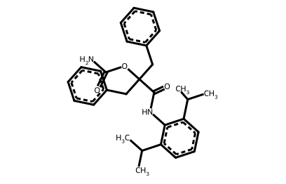 CC(C)c1cccc(C(C)C)c1NC(=O)C(Cc1ccccc1)(Cc1ccccc1)OC(N)=O